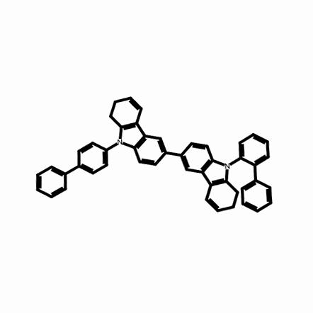 C1=Cc2c(n(-c3ccc(-c4ccccc4)cc3)c3ccc(-c4ccc5c(c4)c4c(n5-c5ccccc5-c5ccccc5)CCC=C4)cc23)CC1